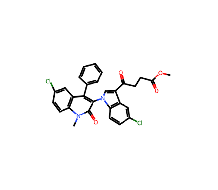 COC(=O)CCC(=O)c1cn(-c2c(-c3ccccc3)c3cc(Cl)ccc3n(C)c2=O)c2ccc(Cl)cc12